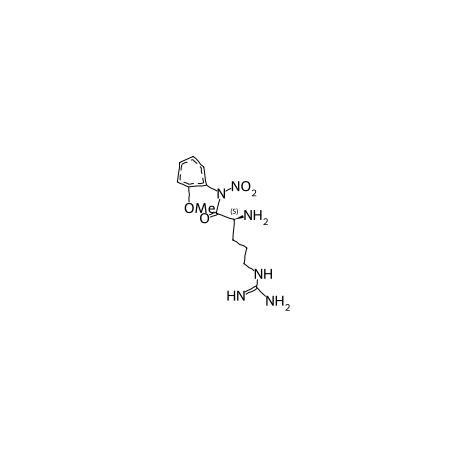 COc1ccccc1N(C(=O)[C@@H](N)CCCNC(=N)N)[N+](=O)[O-]